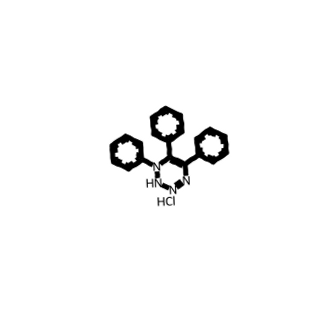 Cl.c1ccc(C2=C(c3ccccc3)N(c3ccccc3)NN=N2)cc1